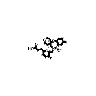 Cc1ccc(CCC(=O)O)nc1CN1CC2(CCOCC2)Oc2ccc(F)cc2[S+]1[O-]